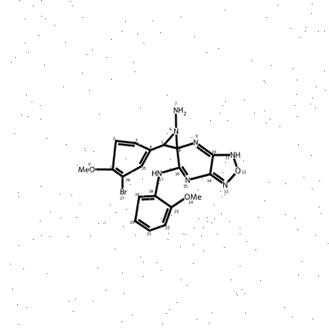 COc1ccc(C2N(N)C23N=C2NON=C2N=C3Nc2ccccc2OC)cc1Br